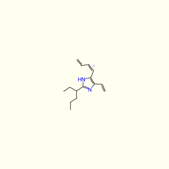 C=C/C=C\c1[nH]c(C(CC)CCC)nc1C=C